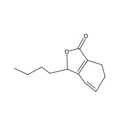 CCCCC1OC(=O)C2=C1C=CCC2